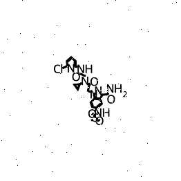 CS(=O)(=O)Nc1ccc2c(c1)c(C(N)=O)nn2CC(=O)N(CC(=O)Nc1cccc(Cl)n1)C1CC1